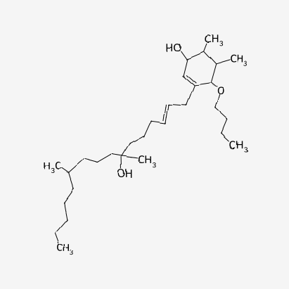 CCCCCC(C)CCCC(C)(O)CCC/C=C/CC1=CC(O)C(C)C(C)C1OCCCC